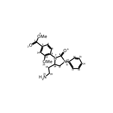 COC(=O)c1ccc(N2C(=O)N(c3ccccc3)CC2CCN)c(OC)c1